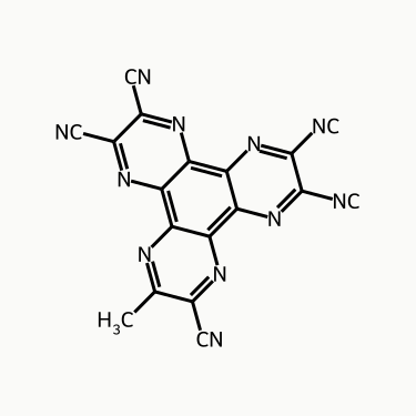 [C-]#[N+]c1nc2c3nc(C#N)c(C)nc3c3nc(C#N)c(C#N)nc3c2nc1[N+]#[C-]